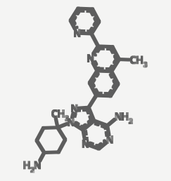 Cc1cc(-c2ccccn2)nc2cc(-c3nn(C4(C)CCC(N)CC4)c4ncnc(N)c34)ccc12